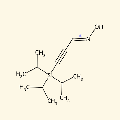 CC(C)[Si](C#C/C=N/O)(C(C)C)C(C)C